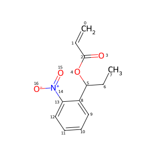 C=CC(=O)OC(CC)c1ccccc1[N+](=O)[O-]